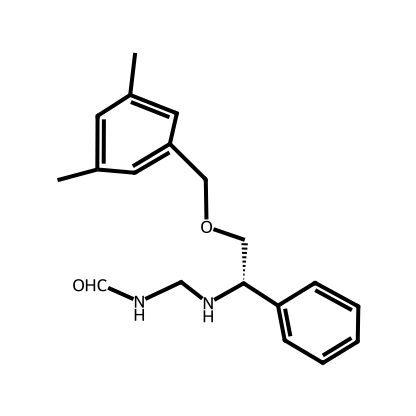 Cc1cc(C)cc(COC[C@@H](NCNC=O)c2ccccc2)c1